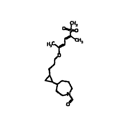 C/C(=C\C=C(/C)S(C)(=O)=O)OCCC[C@@H]1C[C@@H]1C1CCCN(C=O)CC1